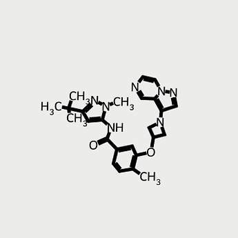 Cc1ccc(C(=O)Nc2cc(C(C)(C)C)nn2C)cc1OC1CN(c2cnn3ccncc23)C1